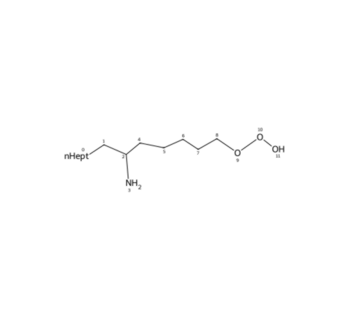 CCCCCCCCC(N)CCCCCOOO